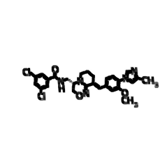 COc1cc(/C=C2\CCCN3C2=NOC[C@@H]3CNC(=O)c2cc(Cl)cc(Cl)c2)ccc1-n1cnc(C)c1